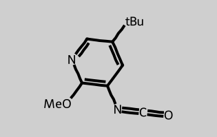 COc1ncc(C(C)(C)C)cc1N=C=O